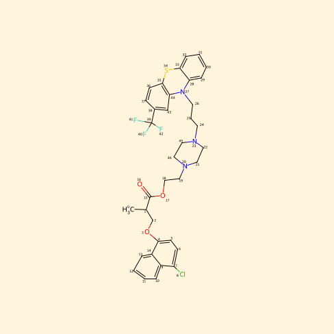 CC(COc1ccc(Cl)c2ccccc12)C(=O)OCCN1CCN(CCCN2c3ccccc3Sc3ccc(C(F)(F)F)cc32)CC1